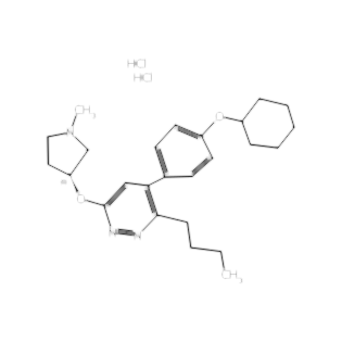 CCCCc1nnc(O[C@H]2CCN(C)C2)cc1-c1ccc(OC2CCCCC2)cc1.Cl.Cl